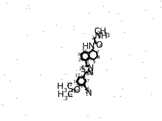 CNCC(=O)NC1CCCc2c(-c3nnc(-c4ccc(OC(C)C)c(C#N)c4)s3)cccc21